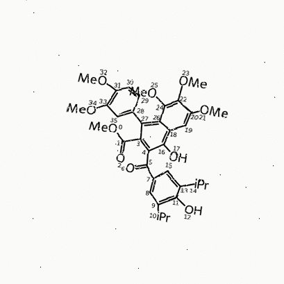 COC(=O)c1c(C(=O)c2cc(C(C)C)c(O)c(C(C)C)c2)c(O)c2cc(OC)c(OC)c(OC)c2c1-c1ccc(OC)c(OC)c1